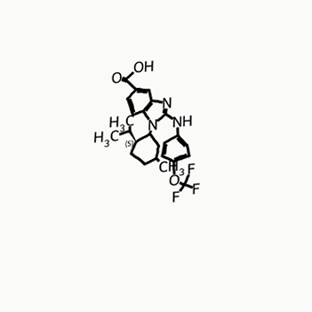 CC1CC[C@@H](C(C)C)C(n2c(Nc3ccc(OC(F)(F)F)cc3)nc3cc(C(=O)O)ccc32)C1